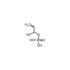 C=CC(S)OP(=O)(O)O